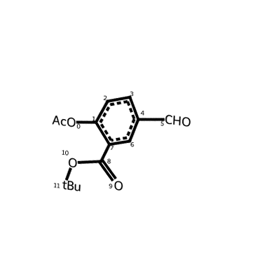 CC(=O)Oc1ccc(C=O)cc1C(=O)OC(C)(C)C